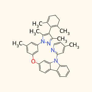 CC1=CCCC(C)=C1c1c(C)nn(-c2cc(C)cc(Oc3ccc4c5ccccc5n(-c5cc(C)ccn5)c4c3)c2)c1C